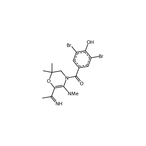 CNC1=C(C(C)=N)OC(C)(C)CN1C(=O)c1cc(Br)c(O)c(Br)c1